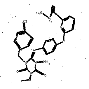 C=C(NN)c1cccc(Oc2ccc(/N=c3\n(N)c(=O)n(CC)c(=O)n3Cc3ccc(Cl)cc3)cc2)n1